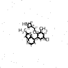 Cc1cc2nccc(-c3cc(Cl)cc(C)c3OCC3CNC3)c2s1